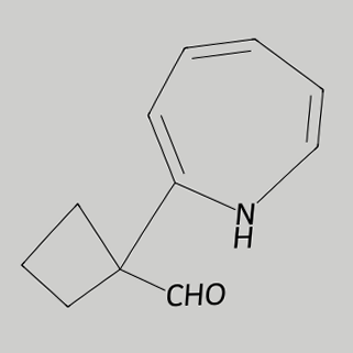 O=CC1(C2=CC=CC=CN2)CCC1